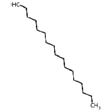 [CH]CCCCCCCCCCCCCCCC